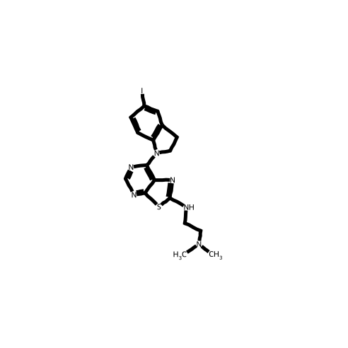 CN(C)CCNc1nc2c(N3CCc4cc(I)ccc43)ncnc2s1